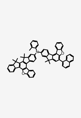 Cc1ccccc1N(c1ccc2c(c1)C(C)(C)c1cc(-c3cccc4ccccc34)c3oc4ccccc4c3c1-2)c1ccc2c(c1)C(C)(C)c1c3c(c4oc5ccccc5c4c1-2)-c1ccccc1C3(C)C